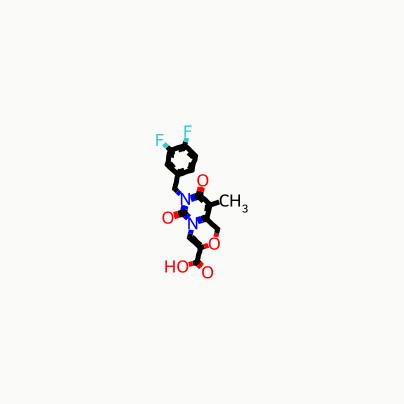 Cc1c2n(c(=O)n(Cc3ccc(F)c(F)c3)c1=O)C=C(C(=O)O)OC2